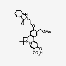 COCc1cc2c(cc1OCCn1nc3ccccn3c1=O)C1CC(C)(C)N1n1cc(C(=O)O)c(=O)cc1-2